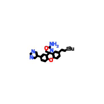 CC(C)(C)C=Cc1ccc2c(c1)C1(COC(N)=N1)c1cc(-c3cncnc3)ccc1O2